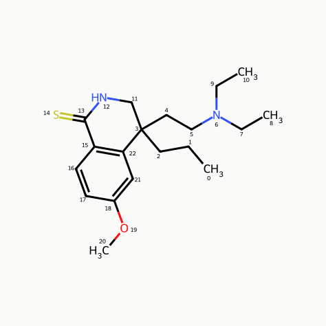 CCCC1(CCN(CC)CC)CNC(=S)c2ccc(OC)cc21